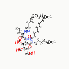 CCCCCCCCCCCCCCCCCC(=O)N(CCCCCCCCCCCCCC)[C@@H]1O[C@H](CO)[C@@H](O)[C@H](O)[C@@H]1NC(=O)[C@H](CC(C)C)NCCCCCC(=O)O